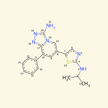 CC(C)Nc1ncc(-c2cc(-c3ccccc3)c3nnc(N)n3c2)s1